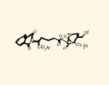 O=C(CCCC(C(=O)O)N1C(=O)c2ccccc2C1=O)N[C@@H]1C(=O)N2C(C(=O)O)=C(CO)CS[C@@H]12